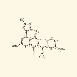 CCn1cc(-c2cc(C=O)cc3c(=O)n(C(c4cc(OC)ccn4)C4CC4)cnc23)c(C(F)(F)F)n1